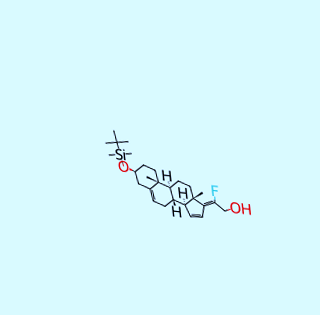 CC(C)(C)[Si](C)(C)O[C@H]1CC[C@@]2(C)C(=CC[C@@H]3[C@@H]2CC[C@]2(C)/C(=C(\F)CO)C=C[C@@H]32)C1